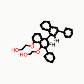 [2H]c1c(-c2ccccc2)cc2ccccc2c1-c1c([2H])c(-c2ccccc2)c(OCCO)c2c(OCCO)cccc12